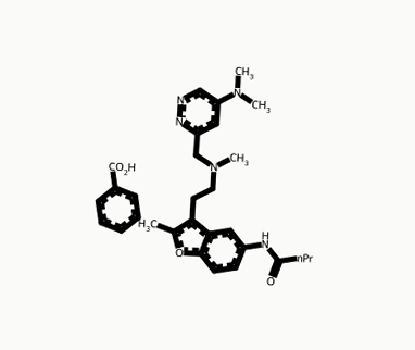 CCCC(=O)Nc1ccc2oc(C)c(CCN(C)Cc3cc(N(C)C)cnn3)c2c1.O=C(O)c1ccccc1